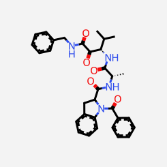 CC(C)[C@H](NC(=O)[C@H](C)NC(=O)C1Cc2ccccc2N1C(=O)c1ccccc1)C(=O)C(=O)NCc1ccccc1